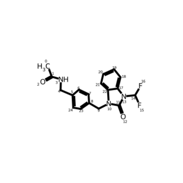 CC(=O)NCc1ccc(Cn2c(=O)n(C(F)F)c3ccccc32)cc1